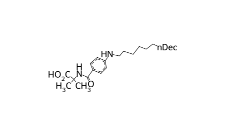 CCCCCCCCCCCCCCCCNc1ccc(C(=O)NC(C)(C)C(=O)O)cc1